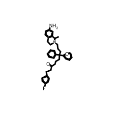 CC1c2cc(N)ccc2CCN1CCCC(CCCC(=O)CCc1ccc(F)cc1)(c1ccccc1)c1ccccc1